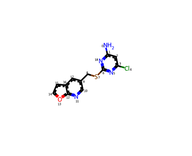 Nc1cc(Cl)nc(SCc2cnc3occc3c2)n1